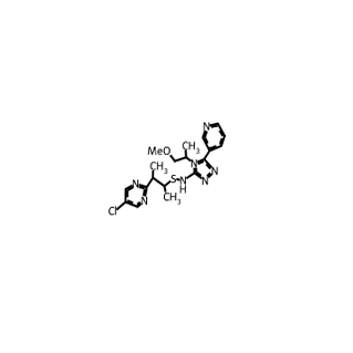 COCC(C)n1c(NSC(C)C(C)c2ncc(Cl)cn2)nnc1-c1cccnc1